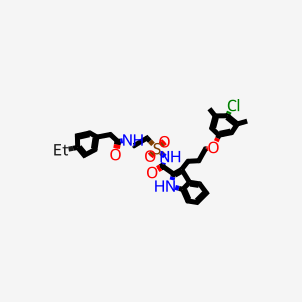 CCc1ccc(CC(=O)NCCS(=O)(=O)NC(=O)c2[nH]c3ccccc3c2CCCOc2cc(C)c(Cl)c(C)c2)cc1